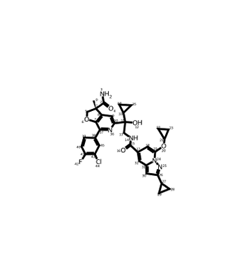 C[C@]1(C(N)=O)COc2c1cc(C(O)(CNC(=O)c1cc(OC3CC3)n3nc(C4CC4)cc3c1)C1CC1)nc2-c1ccc(F)c(Cl)c1